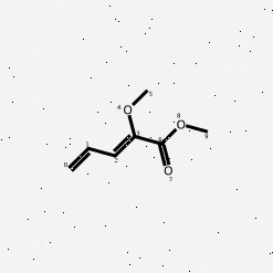 C=CC=C(OC)C(=O)OC